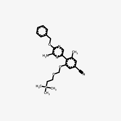 Cc1cc(C#N)cc(OCOCC[Si](C)(C)C)c1-c1cnc(OCc2ccccc2)c(N)n1